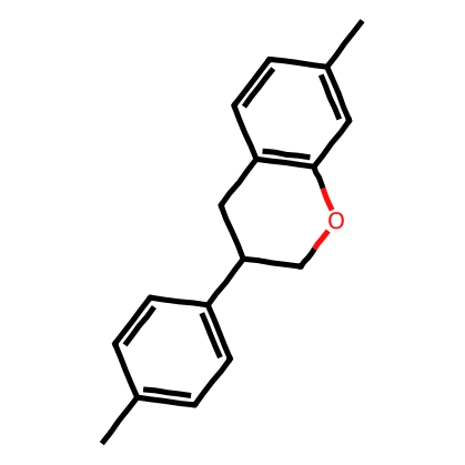 Cc1ccc(C2COc3cc(C)ccc3C2)cc1